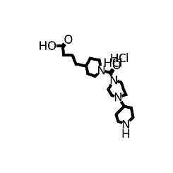 Cl.Cl.O=C(O)CCCC1CCN(C(=O)N2CCN(C3CCNCC3)CC2)CC1